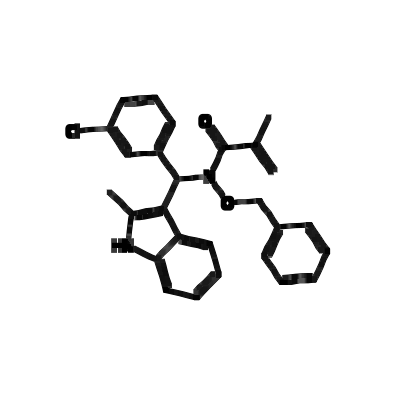 C=C(C)C(=O)N(OCc1ccccc1)C(c1cccc(Cl)c1)c1c(C)[nH]c2ccccc12